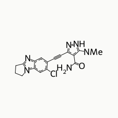 CNc1[nH]nc(C#Cc2cc3nc4n(c3cc2Cl)CCC4)c1C(N)=O